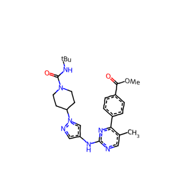 COC(=O)c1ccc(-c2nc(Nc3cnn(C4CCN(C(=O)NC(C)(C)C)CC4)c3)ncc2C)cc1